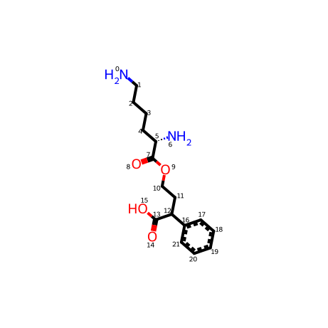 NCCCC[C@H](N)C(=O)OCCC(C(=O)O)c1ccccc1